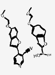 COCOc1ccc2oc(-c3ccncc3C#N)cc2c1.COCOc1ccc2oc(B(O)O)cc2c1